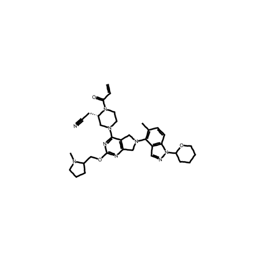 C=CC(=O)N1CCN(c2nc(OCC3CCCN3C)nc3c2CN(c2c(C)ccc4c2cnn4C2CCCCO2)C3)C[C@@H]1CC#N